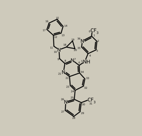 FC(F)(F)c1ccc(Nc2nc(CN(Cc3ccccc3)C3CC3)nc3cc(-c4ncccc4C(F)(F)F)ccc23)cn1